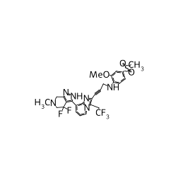 COc1cc(S(C)(=O)=O)ccc1NCC#Cc1nc2c(-c3[nH]nc4c3C(F)(F)CN(C)C4)cccn2c1CC(F)(F)F